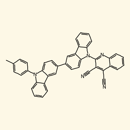 Cc1ccc(-n2c3ccccc3c3cc(-c4ccc5c(c4)c4ccccc4n5-c4nc5ccccc5c(C#N)c4C#N)ccc32)cc1